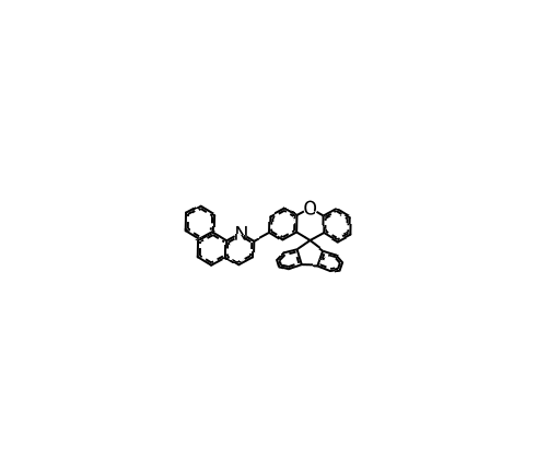 c1ccc2c(c1)Oc1ccc(-c3ccc4ccc5ccccc5c4n3)cc1C21c2ccccc2-c2ccccc21